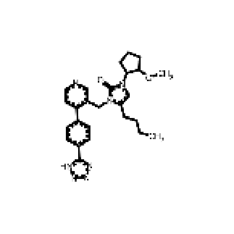 CCCCc1cn(C2CCCC2OC)c(=O)n1Cc1cnccc1-c1ccc(-c2nnn[nH]2)cc1